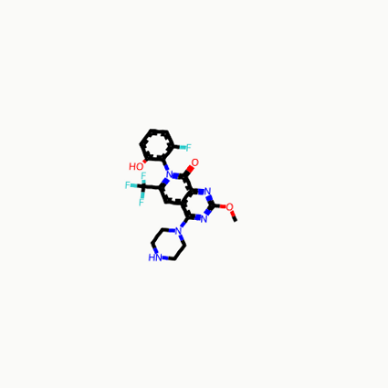 COc1nc(N2CCNCC2)c2cc(C(F)(F)F)n(-c3c(O)cccc3F)c(=O)c2n1